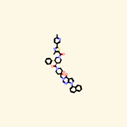 Cc1ccc(-c2nc(C)c(C(=O)N3CC[C@@H](C(=O)N4CCC(O)(Cn5cnc6c(ccn6-c6cccc7ccccc67)c5=O)CC4)[C@H](c4ccccc4)C3)s2)cn1